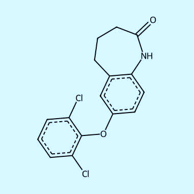 O=C1CCCc2cc(Oc3c(Cl)cccc3Cl)ccc2N1